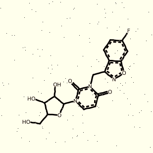 O=c1ccn(C2OC(CO)C(O)C2O)c(=O)n1Cc1noc2cc(F)ccc12